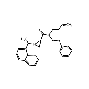 C=CCCN(CCc1ccccc1)C(=O)C1CN1C(C)c1cccc2ccccc12